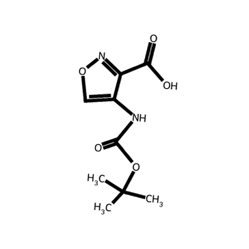 CC(C)(C)OC(=O)Nc1conc1C(=O)O